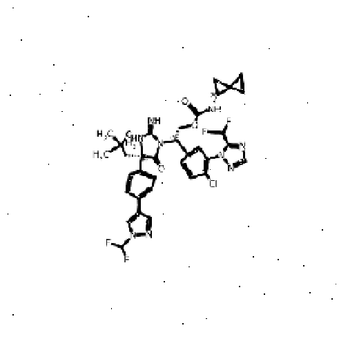 CC(C)(C)C[C@]1(c2ccc(-c3cnn(C(F)F)c3)cc2)NC(=N)N([C@H](COC(=O)N[C@@H]2CC23CC3)c2ccc(Cl)c(-n3ncnc3C(F)F)c2)C1=O